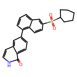 O=c1[nH]ccc2cc(-c3cccc4cc(S(=O)(=O)C5CCCCC5)ccc34)ccc12